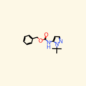 CC(C)(C)n1nccc1NC(=O)OCc1ccccc1